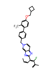 C=C(C)/C(F)=C(\C=C/C)c1nc2ccn(Cc3ccc(-c4ccc(OCC5CCC5)cc4C(F)(F)F)cc3)cc-2n1